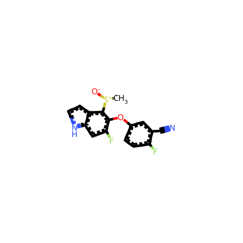 C[S+]([O-])c1c(Oc2ccc(F)c(C#N)c2)c(F)cc2[nH]ccc12